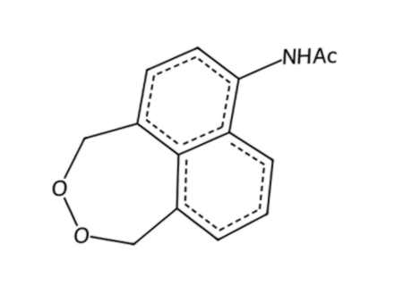 CC(=O)Nc1ccc2c3c(cccc13)COOC2